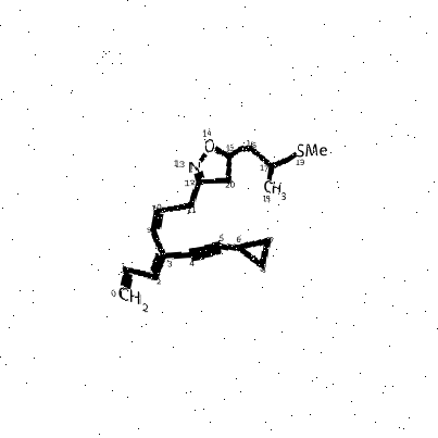 C=C/C=C(C#CC1CC1)\C=C/CC1=NOC(CC(C)SC)C1